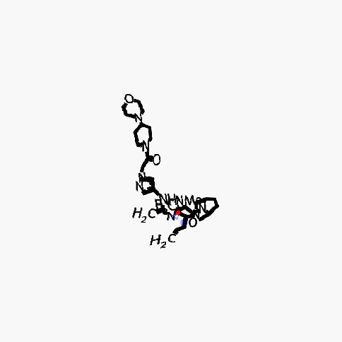 C=C/C=C(\C(=N\C(=C)Nc1cnn(CC(=O)N2CCC(N3CCOCC3)CC2)c1)NC)N1CC2CCC(C1)N2C(=O)CCC(F)(F)F